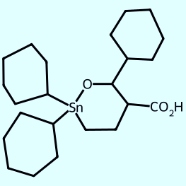 O=C(O)C1C[CH2][Sn]([CH]2CCCCC2)([CH]2CCCCC2)[O]C1C1CCCCC1